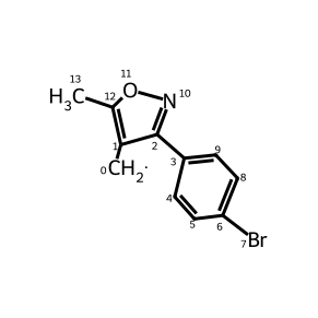 [CH2]c1c(-c2ccc(Br)cc2)noc1C